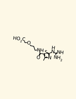 Cc1nc(NC(=N)N)sc1C(=O)NCCCOCC(=O)O